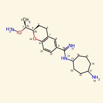 C[C@H](ON)[C@H]1CCc2cc(C(=N)NC3CCCC(N)CC3)ccc2O1